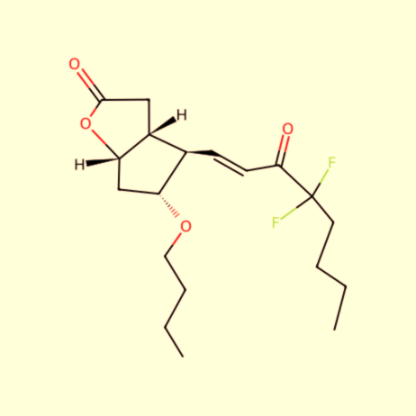 CCCCO[C@@H]1C[C@@H]2OC(=O)C[C@@H]2[C@H]1/C=C/C(=O)C(F)(F)CCCC